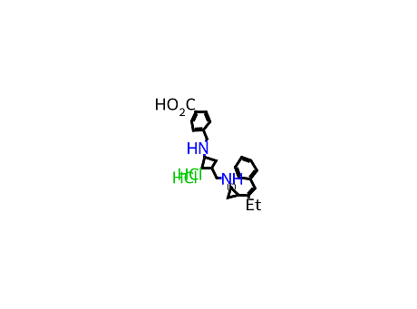 CCC(=Cc1ccccc1)C1C[C@@H]1NCC1CC(NCc2ccc(C(=O)O)cc2)C1.Cl.Cl